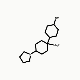 O=C(O)C1(C2CCC([N+](=O)[O-])CC2)CCC(N2CCCC2)CC1